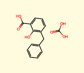 O=C(O)O.O=C(O)c1cccc(Cc2ccccc2)c1O